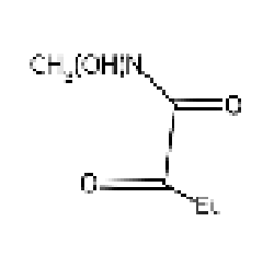 CCC(=O)C(=O)N(C)O